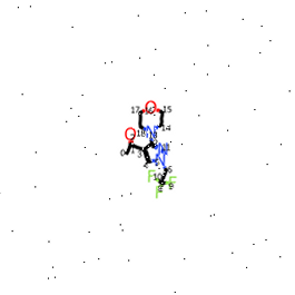 CC(=O)c1cn(CC(F)(F)F)nc1N1CCOCC1